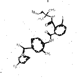 CSCC(C)(C)NC(=O)c1c(I)cccc1C(=O)Nc1ccc(C(C)n2ccc(C(F)(F)F)n2)cc1C